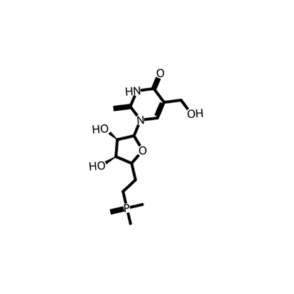 C=C1NC(=O)C(CO)=CN1C1OC(CCP(=C)(C)C)[C@@H](O)[C@H]1O